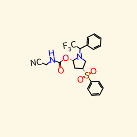 N#CCNC(=O)O[C@H]1C[C@@H](S(=O)(=O)c2ccccc2)CN1C(c1ccccc1)C(F)(F)F